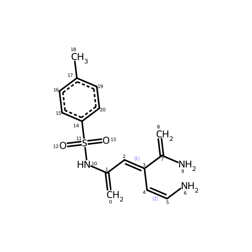 C=C(/C=C(\C=C/N)C(=C)N)NS(=O)(=O)c1ccc(C)cc1